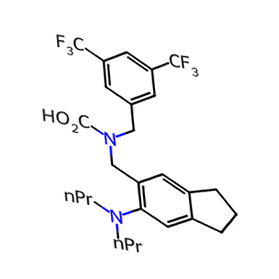 CCCN(CCC)c1cc2c(cc1CN(Cc1cc(C(F)(F)F)cc(C(F)(F)F)c1)C(=O)O)CCC2